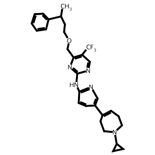 CC(CCOCc1nc(Nc2ccc(C3=CCCN(C4CC4)CC3)cn2)ncc1C(F)(F)F)c1ccccc1